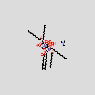 CCCCCCCCCCC[C@H](CC(=O)N[C@H](CO)CO[C@H]1O[C@H](CO)[C@@H](OP(=O)(O)O)[C@H](OC(=O)C[C@@H](CCCCCCCCCCC)OC(=O)CCCCCCCCCC)[C@@H]1NC(=O)C[C@@H](CCCCCCCCCCC)OC(=O)CCCCCCCCCC)OC(=O)CCCCCCCCCC.CCN(CC)CC